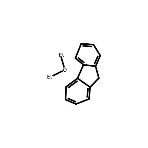 CCOCC.c1ccc2c(c1)Cc1ccccc1-2